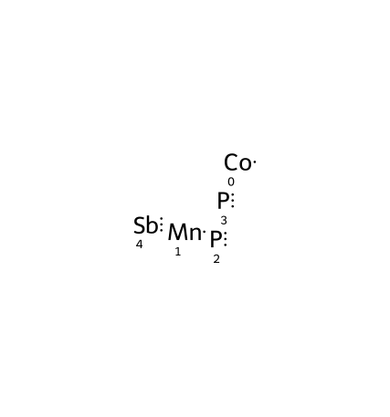 [Co].[Mn].[P].[P].[Sb]